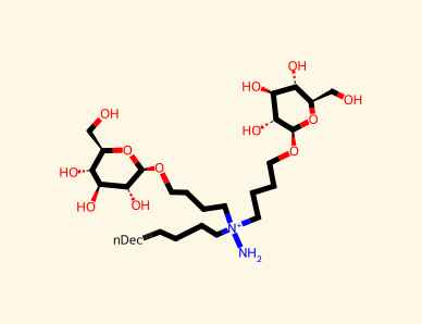 CCCCCCCCCCCCCC[N+](N)(CCCCO[C@@H]1O[C@H](CO)[C@@H](O)[C@H](O)[C@H]1O)CCCCO[C@@H]1O[C@H](CO)[C@@H](O)[C@H](O)[C@H]1O